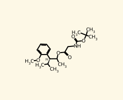 COc1ccccc1[C@H](C(C)C)C(C)OC(=O)CNC(=O)OC(C)(C)C